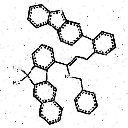 CC1(C)c2cc3ccccc3cc2-c2c(/C(=C/Cc3ccccc3-c3ccc4c(c3)sc3ccccc34)NCc3ccccc3)cccc21